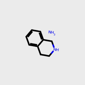 N.c1ccc2c(c1)CCNC2